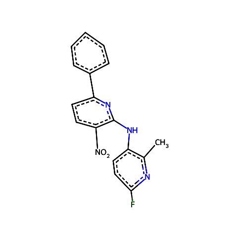 Cc1nc(F)ccc1Nc1nc(-c2ccccc2)ccc1[N+](=O)[O-]